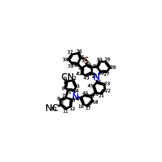 N#Cc1ccc2c(c1)c1cc(C#N)ccc1n2-c1cccc(-c2cccc(-n3c4ccccc4c4c5sc6ccccc6c5ccc43)c2)c1